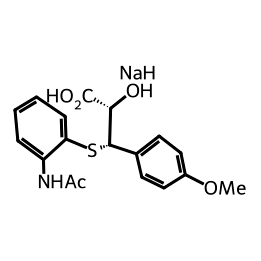 COc1ccc([C@H](Sc2ccccc2NC(C)=O)[C@@H](O)C(=O)O)cc1.[NaH]